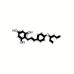 C=C/C=C(\C=C)Oc1ccc(/C=C/Cc2c(O)cc(O)cc2O)cc1